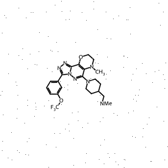 CNCC1CCN(c2nn3c(-c4cccc(OC(F)(F)F)c4)nnc3c3c2N(C)CCO3)CC1